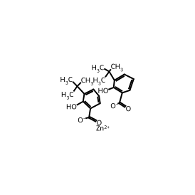 CC(C)(C)c1cccc(C(=O)[O-])c1O.CC(C)(C)c1cccc(C(=O)[O-])c1O.[Zn+2]